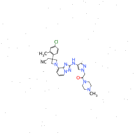 Cc1cc(Cl)ccc1C1(CC#N)CN(c2cccn3nc(Nc4cnn(CC(=O)N5CCN(C)CC5)c4)nc23)C1